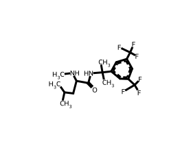 CNC(CC(C)C)C(=O)NC(C)(C)c1cc(C(F)(F)F)cc(C(F)(F)F)c1